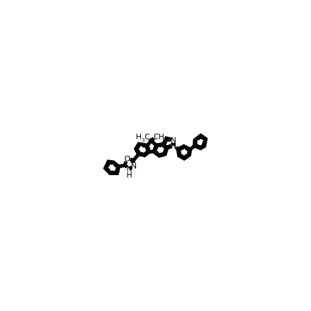 CC1(C)c2ccc(C3=NNC(c4ccccc4)O3)cc2-c2ccc3c(cnn3-c3cccc(-c4ccccc4)c3)c21